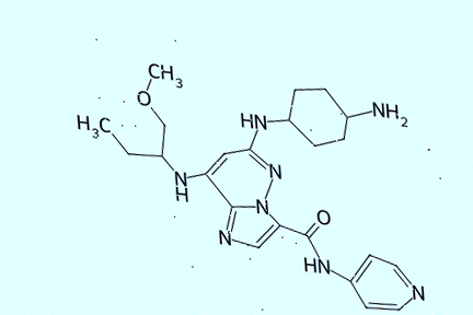 CCC(COC)Nc1cc(NC2CCC(N)CC2)nn2c(C(=O)Nc3ccncc3)cnc12